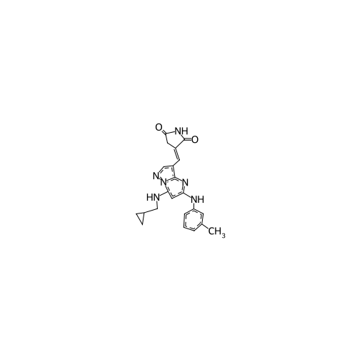 Cc1cccc(Nc2cc(NCC3CC3)n3ncc(C=C4CC(=O)NC4=O)c3n2)c1